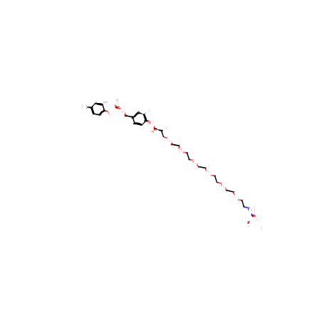 CC(C)(C)OC(=O)NCCOCCOCCOCCOCCOCCOCCC(=O)Oc1ccc(COC(=O)Oc2ccc([N+](=O)[O-])cc2)cc1